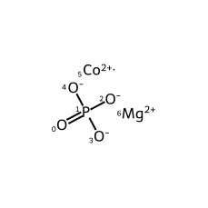 O=P([O-])([O-])[O-].[Co+2].[Mg+2]